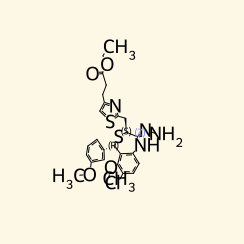 CCOC(=O)CCc1csc(C[C@@H]2S[C@@H](c3cccc(OC)c3OC)c3cc(Cl)ccc3N/C2=N\N)n1